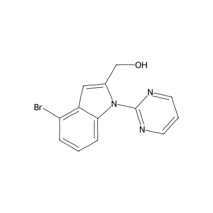 OCc1cc2c(Br)cccc2n1-c1ncccn1